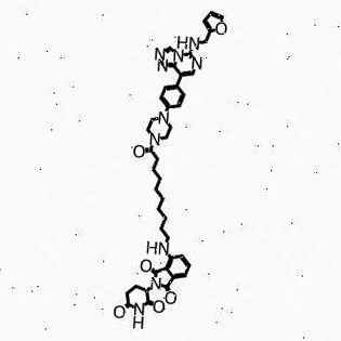 O=C1CCC(N2C(=O)c3cccc(NCCCCCCCCCC(=O)N4CCN(c5ccc(-c6cnc(NCc7ccco7)n7cnnc67)cc5)CC4)c3C2=O)C(=O)N1